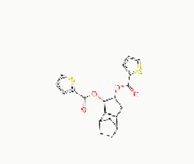 O=C(OC1CC2C3CCC(C3)C2C1OC(=O)c1cccs1)c1cccs1